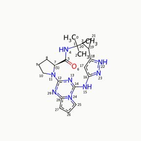 CC(C)(C)NC(=O)[C@@H]1CCCN1c1nc(Nc2cc(C3CC3)[nH]n2)n2cccc2n1